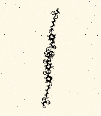 C=CC(=O)OCCCCCCOc1ccc(/C=C/C(=O)O[C@H]2CO[C@H]3[C@@H]2OC[C@H]3OC(=O)c2ccc(OC(=O)c3ccc(OCCCCCCOC(=O)C=C)cc3)cc2)cc1